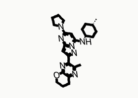 Cc1nc2c(nc1-c1cc3nc(N4CCCC4)cc(N[C@H]4CC[C@@H](C)CC4)n3n1)OCCC2